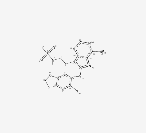 CS(=O)(=O)NCCn1c(Sc2cc3c(cc2I)CCO3)nc2c(N)ncnc21